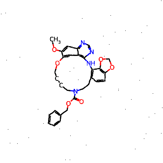 COc1cc2ncnc3c2cc1OCCCCN(C(=O)OCc1ccccc1)CCc1ccc2c(c1N3)OCO2